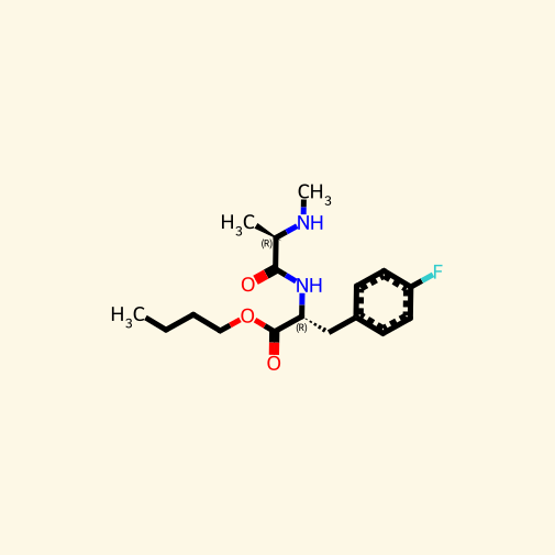 CCCCOC(=O)[C@@H](Cc1ccc(F)cc1)NC(=O)[C@@H](C)NC